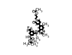 CC(=O)OCCCn1ccc(-c2cc3c(NC(C)c4cc(NC(=O)OC(C)(C)C)cc(C(F)(F)F)c4)nc(C)nc3cc2C)cc1=O